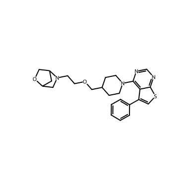 c1ccc(-c2csc3ncnc(N4CCC(COCCN5CC6CC5CO6)CC4)c23)cc1